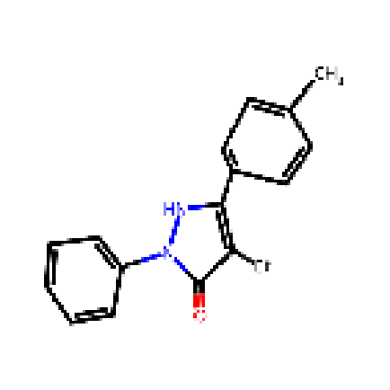 CCc1c(-c2ccc(C)cc2)[nH]n(-c2ccccc2)c1=O